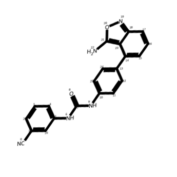 N#Cc1cccc(NC(=O)Nc2ccc(-c3cccc4noc(N)c34)cc2)c1